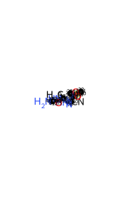 Cc1ccc(Nc2ncc(C#N)c(-c3cn(S(=O)(=O)c4ccccc4)c4ccccc34)n2)cc1NC(=O)c1ccc(N)cc1